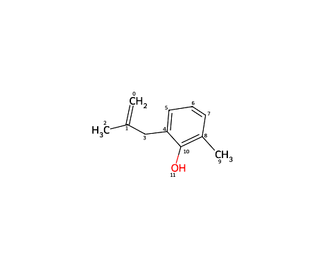 C=C(C)Cc1cccc(C)c1O